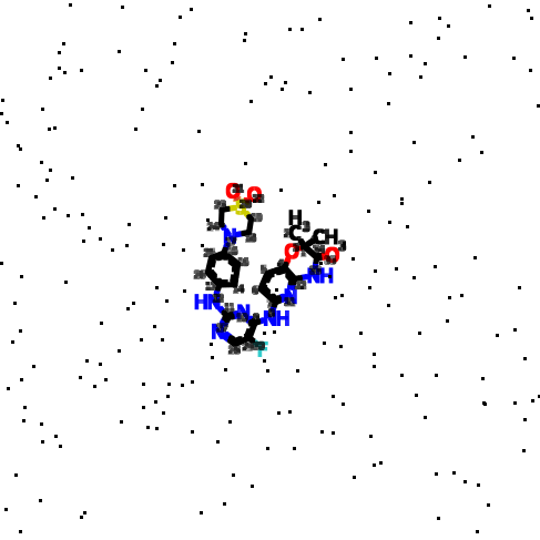 CC1(C)Oc2ccc(Nc3nc(Nc4ccc(N5CCS(=O)(=O)CC5)cc4)ncc3F)nc2NC1=O